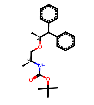 C[C@H](OC[C@H](C)NC(=O)OC(C)(C)C)C(c1ccccc1)c1ccccc1